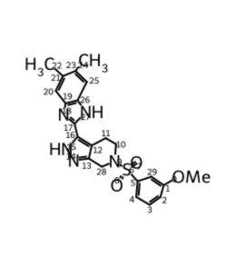 COc1cccc(S(=O)(=O)N2CCc3c(n[nH]c3-c3nc4cc(C)c(C)cc4[nH]3)C2)c1